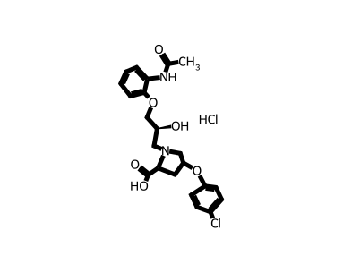 CC(=O)Nc1ccccc1OC[C@@H](O)CN1CC(Oc2ccc(Cl)cc2)CC1C(=O)O.Cl